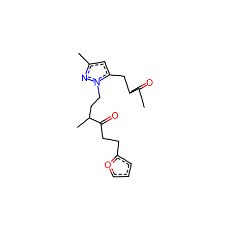 CC(=O)CCc1cc(C)nn1CCC(C)C(=O)CCc1ccco1